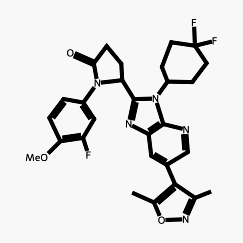 COc1ccc(N2C(=O)CCC2c2nc3cc(-c4c(C)noc4C)cnc3n2C2CCC(F)(F)CC2)cc1F